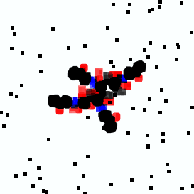 CCC(C)c1cc(C(CC)c2cc(C(CC)c3cc(C(CC)c4ccc(O)c(N=Nc5ccc6c(c5)C(=O)c5ccccc5-6)c4O)c(O)c(N=Nc4ccc5c(c4)C(=O)c4ccccc4-5)c3O)c(O)c(N=Nc3ccc4c(c3)C(=O)c3ccccc3-4)c2O)c(O)c(N=Nc2ccc3c(c2)C(=O)c2ccccc2-3)c1O